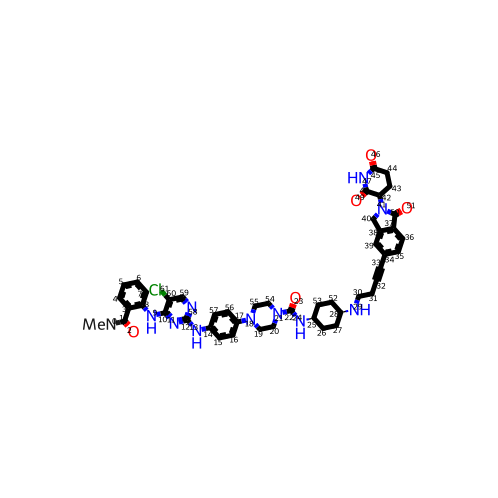 CNC(=O)c1ccccc1Nc1nc(Nc2ccc(N3CCN(C(=O)N[C@H]4CC[C@@H](NCCC#Cc5ccc6c(c5)CN(C5CCC(=O)NC5=O)C6=O)CC4)CC3)cc2)ncc1Cl